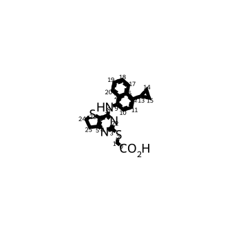 O=C(O)CSc1nc2c(c(Nc3ccc(C4CC4)c4ccccc34)n1)SCC2